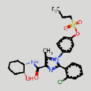 Cc1c(C(=O)N[C@H]2CCCC[C@H]2O)nc(-c2ccccc2Cl)n1-c1ccc(OS(=O)(=O)CCC(F)(F)F)cc1